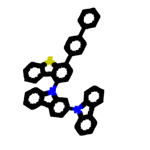 c1ccc(-c2ccc(-c3ccc(-n4c5ccccc5c5ccc(-n6c7ccccc7c7ccccc76)cc54)c4c3sc3ccccc34)cc2)cc1